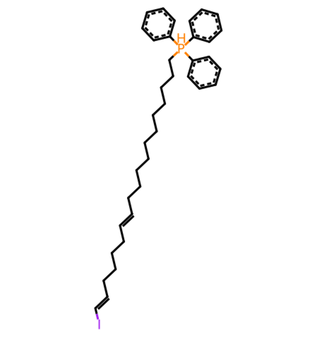 IC=CCCCCC=CCCCCCCCCCCC[PH](c1ccccc1)(c1ccccc1)c1ccccc1